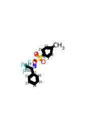 Cc1ccc(S(=O)(=O)O/N=C(/c2ccccc2)C(F)(F)F)cc1